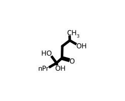 CCCC(O)(O)C(=O)CC(C)O